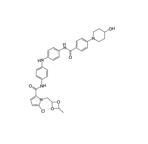 CC1OC(Cn2c(Cl)ccc2C(=O)Nc2ccc(Nc3ccc(NC(=O)c4ccc(N5CCC(O)CC5)cc4)cc3)cc2)O1